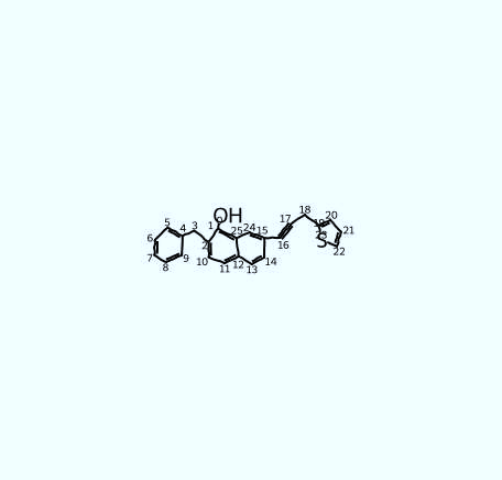 Oc1c(Cc2ccccc2)ccc2ccc(C#CCc3cccs3)cc12